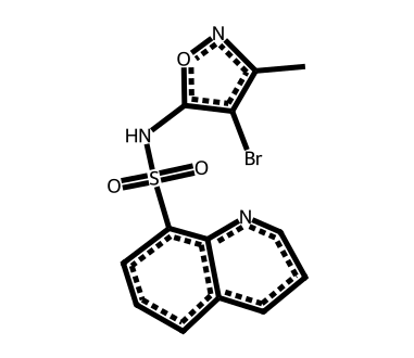 Cc1noc(NS(=O)(=O)c2cccc3cccnc23)c1Br